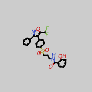 O=C(NCCCS(=O)(=O)c1ccc(-c2c(-c3ccccc3)noc2C(F)F)cc1)c1ccccc1O